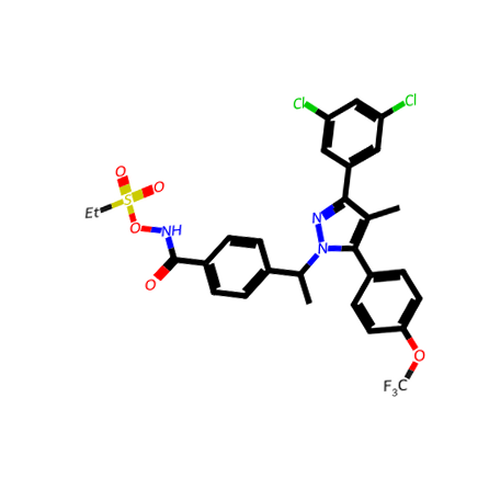 CCS(=O)(=O)ONC(=O)c1ccc(C(C)n2nc(-c3cc(Cl)cc(Cl)c3)c(C)c2-c2ccc(OC(F)(F)F)cc2)cc1